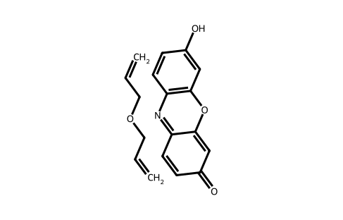 C=CCOCC=C.O=c1ccc2nc3ccc(O)cc3oc-2c1